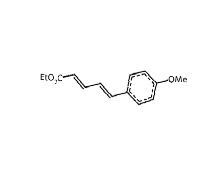 CCOC(=O)C=CC=Cc1ccc(OC)cc1